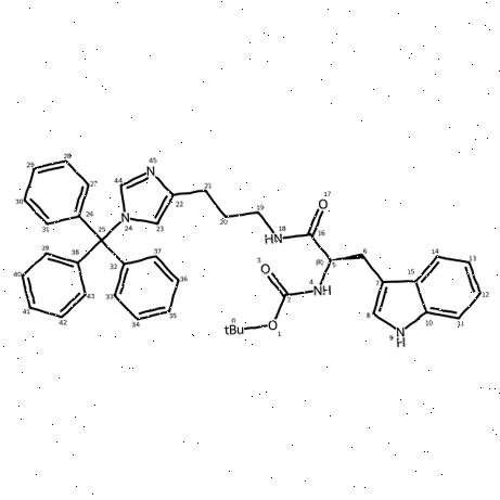 CC(C)(C)OC(=O)N[C@H](Cc1c[nH]c2ccccc12)C(=O)NCCCc1cn(C(c2ccccc2)(c2ccccc2)c2ccccc2)cn1